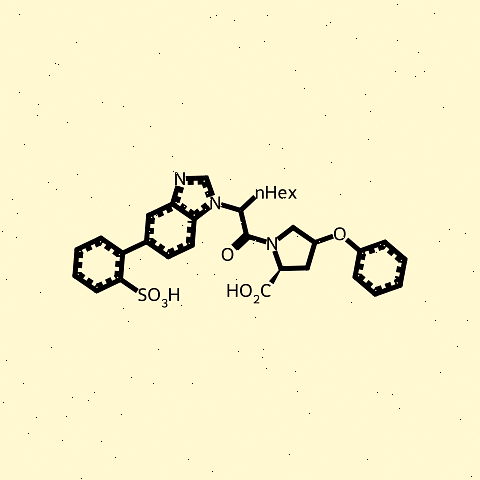 CCCCCCC(C(=O)N1CC(Oc2ccccc2)C[C@H]1C(=O)O)n1cnc2cc(-c3ccccc3S(=O)(=O)O)ccc21